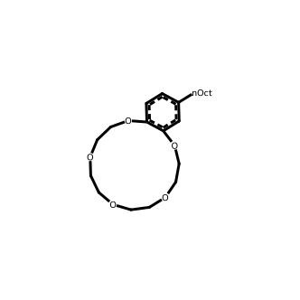 CCCCCCCCc1ccc2c(c1)OCCOCCOCCOCCO2